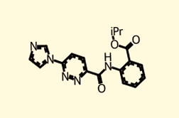 CC(C)OC(=O)c1ccccc1NC(=O)c1ccc(-n2ccnc2)nn1